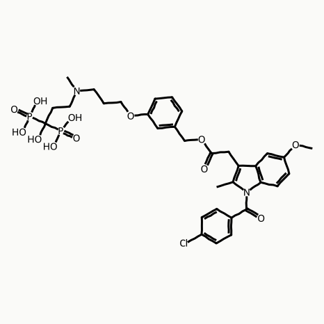 COc1ccc2c(c1)c(CC(=O)OCc1cccc(OCCCN(C)CCC(O)(P(=O)(O)O)P(=O)(O)O)c1)c(C)n2C(=O)c1ccc(Cl)cc1